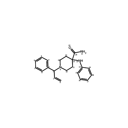 C=CC(c1ccccc1)N1CCC(Nc2ccccc2)(C(N)=O)CC1